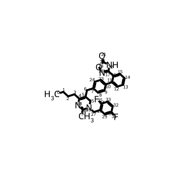 CCCCC1=C(Cc2ccc(-c3ccccc3-c3noc(=O)[nH]3)cc2)CN(Cc2cc(F)ccc2F)C(C)=N1